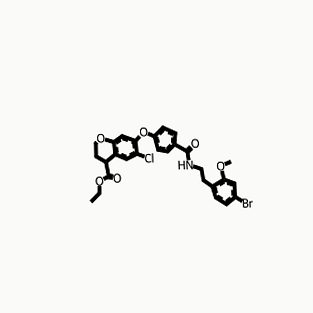 CCOC(=O)C1CCOc2cc(Oc3ccc(C(=O)NCCc4ccc(Br)cc4OC)cc3)c(Cl)cc21